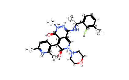 Cc1ccc(-c2c(=O)n(N3CCOCC3)cc3c(N[C@H](C)c4cccc(C(F)(F)F)c4F)nn(C)c(=O)c23)c(C)n1